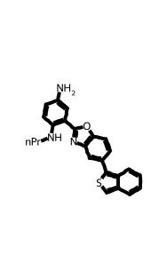 CCCNc1ccc(N)cc1-c1nc2cc(-c3scc4ccccc34)ccc2o1